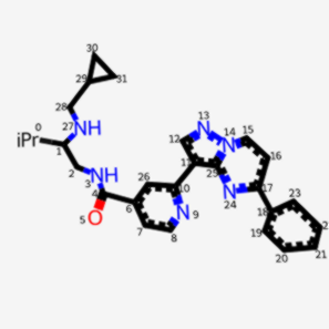 CC(C)C(CNC(=O)c1ccnc(-c2cnn3ccc(-c4ccccc4)nc23)c1)NCC1CC1